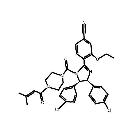 CCOc1cc(C#N)ccc1C1=N[C@@H](c2ccc(Cl)cc2)[C@@H](c2ccc(Cl)cc2)N1C(=O)N1CCN(C(=O)C=C(C)C)CC1